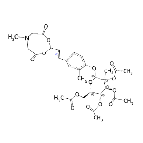 CC(=O)OC[C@H]1O[C@H](Oc2ccc(/C=C/C3OC(=O)CN(C)CC(=O)O3)cc2C)[C@@](C)(OC(C)=O)[C@@H](OC(C)=O)[C@@H]1OC(C)=O